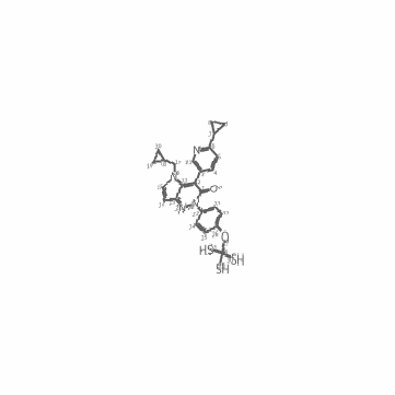 O=c1c(-c2ccc(C3CC3)nc2)c2c(ccn2CC2CC2)nn1-c1ccc(OC(S)(S)S)cc1